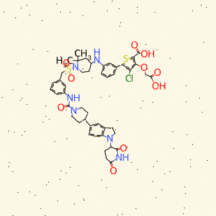 CC1(C)C[C@@H](Nc2cccc(-c3sc(C(=O)O)c(OCC(=O)O)c3Cl)c2)CCN1S(=O)(=O)Cc1cccc(NC(=O)N2CCC(c3ccc4c(c3)CCN4C3CCC(=O)NC3=O)CC2)c1